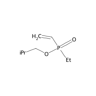 C=CP(=O)(CC)OCC(C)C